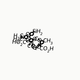 Cc1ccc2c(c1)OCCOc1cc(C3=c4ccc(=[SiH2])cc4Oc4cc(N(C)C)ccc43)c(OCC(=O)O)cc1N(CC(=O)O)CCOCCN2CC(=O)O